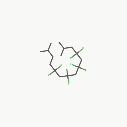 CC(C)CCC(F)(F)CC(F)(F)CC(F)(F)CC(F)(F)CC(C)C